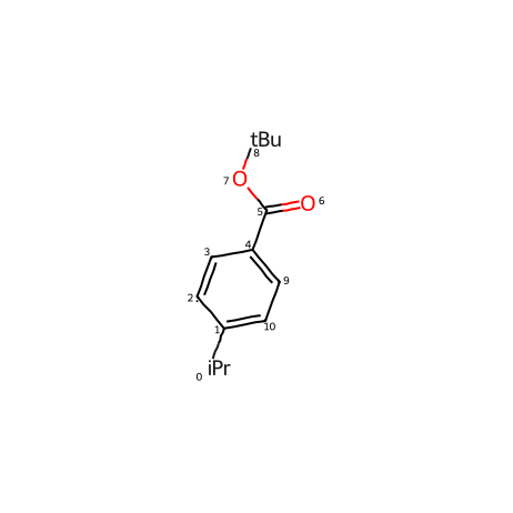 CC(C)c1[c]cc(C(=O)OC(C)(C)C)cc1